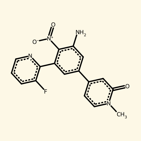 Cn1ccc(-c2cc(N)c([N+](=O)[O-])c(-c3ncccc3F)c2)cc1=O